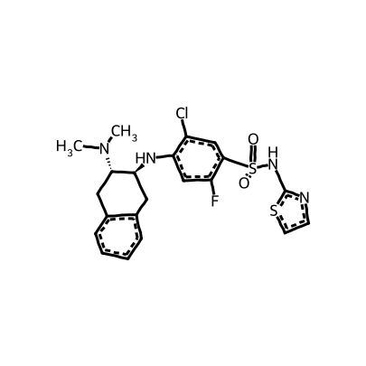 CN(C)[C@H]1Cc2ccccc2C[C@@H]1Nc1cc(F)c(S(=O)(=O)Nc2nccs2)cc1Cl